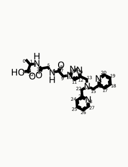 CC(NC(=O)CNC(=O)Cn1cc(CN(Cc2ccccn2)Cc2ccccn2)nn1)C(=O)O